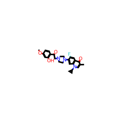 COc1ccc(C(=O)CN2CCN(c3cc4c(cc3F)c(=O)c(C)cn4C3CC3)CC2)c(O)c1